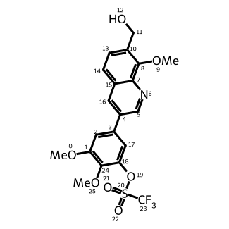 COc1cc(-c2cnc3c(OC)c(CO)ccc3c2)cc(OS(=O)(=O)C(F)(F)F)c1OC